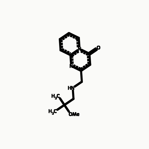 COC(C)(C)CNCc1cc(=O)n2ccccc2n1